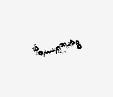 Cc1cc(N2CC[C@](C)(c3ccccc3)C2)cn2nc(C(=O)N3CC[C@@]4(CCN(c5ccc(NC(=O)CCCCCC(=O)Nc6ccc(NC7CCC(=O)NC7=O)cc6)c(C(=O)O)n5)C4)C3)nc12